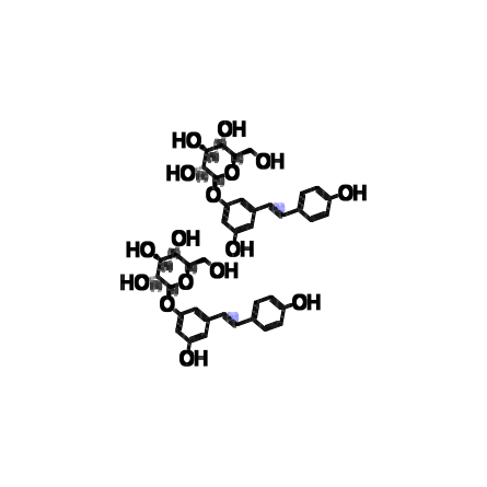 OC[C@H]1O[C@@H](Oc2cc(O)cc(/C=C/c3ccc(O)cc3)c2)[C@H](O)[C@@H](O)[C@@H]1O.OC[C@H]1O[C@@H](Oc2cc(O)cc(/C=C/c3ccc(O)cc3)c2)[C@H](O)[C@@H](O)[C@@H]1O